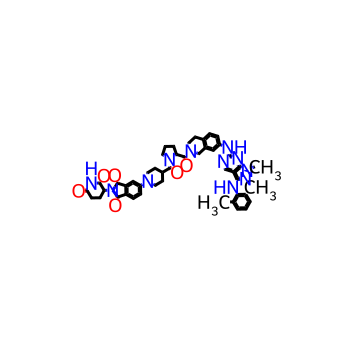 Cc1cccc(C)c1Nc1nn(C)c2nc(Nc3ccc4c(c3)CN(C(=O)C3CCCN3C(=O)C3CCN(c5ccc6c(c5)C(=O)N(C5CCC(=O)NC5=O)C6=O)CC3)CC4)ncc12